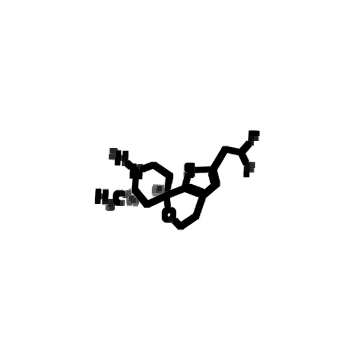 [2H]N1CC[C@]2(C[C@@H]1C)OCCc1cc(CC(F)F)sc12